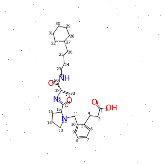 O=C(O)CCc1ccccc1CN1CCCC1c1nc(C(=O)NCCCCC2CCCCC2)co1